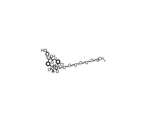 COCCOCCOCCOCCOCCOCCOCCOC(=O)NC1(C(=O)Nc2cccc(C(CN3CC[C@H](O)C3)N(C)C(=O)Cc3ccc(Cl)c(Cl)c3)c2)CC1